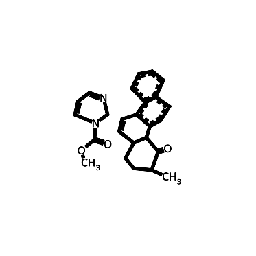 CC1CCC2C=Cc3c(ccc4ccccc34)C2C1=O.COC(=O)N1C=CC=NC1